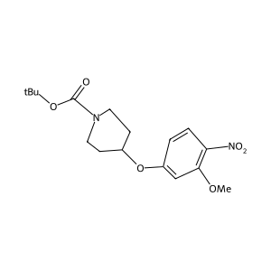 COc1cc(OC2CCN(C(=O)OC(C)(C)C)CC2)ccc1[N+](=O)[O-]